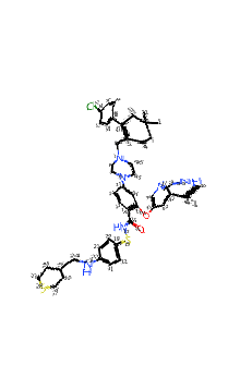 CC1(C)CCC(CN2CCN(c3ccc(C(=O)NSc4ccc(NCC5CCSCC5)cc4)c(Oc4cnc5[nH]ccc5c4)c3)CC2)=C(c2ccc(Cl)cc2)C1